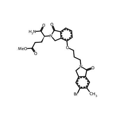 COC(=O)CC[C@@H](C(N)=O)N1Cc2c(OCCCN3Cc4cc(Br)c(C)cc4C3=O)cccc2C1=O